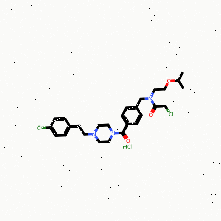 CC(C)OCCN(Cc1ccc(C(=O)N2CCN(CCc3ccc(Cl)cc3)CC2)cc1)C(=O)CCl.Cl